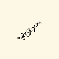 CN1CCN(c2ccc(Nc3nccc(N4CC(=O)N(C(=O)OC(C)(C)C)CC45CCCCC5)n3)nc2)CC1